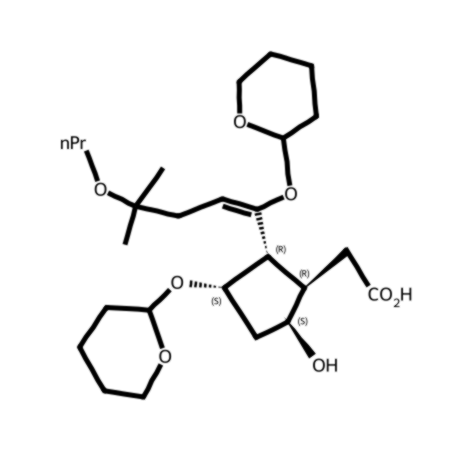 CCCOC(C)(C)CC=C(OC1CCCCO1)[C@@H]1[C@@H](CC(=O)O)[C@@H](O)C[C@@H]1OC1CCCCO1